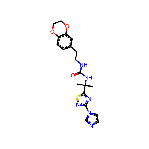 CC(C)(NC(=O)NCCc1ccc2c(c1)OCCO2)c1nc(-n2ccnc2)ns1